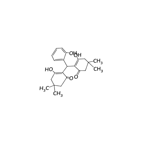 CC1(C)CC(=O)C(C(C2=C(O)CC(C)(C)CC2=O)c2ccccc2O)=C(O)C1